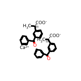 C[C@H](C(=O)[O-])c1cccc(C(=O)c2ccccc2)c1.C[C@H](C(=O)[O-])c1cccc(C(=O)c2ccccc2)c1.[Ca+2]